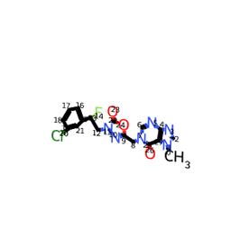 Cn1cnc2ncn(Cc3nn(C[C@H](F)c4cccc(Cl)c4)c(=O)o3)c(=O)c21